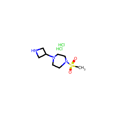 CS(=O)(=O)N1CCN(C2CNC2)CC1.Cl.Cl